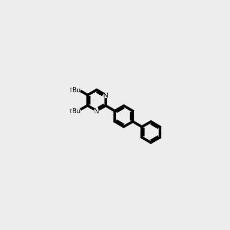 CC(C)(C)c1cnc(-c2ccc(-c3ccccc3)cc2)nc1C(C)(C)C